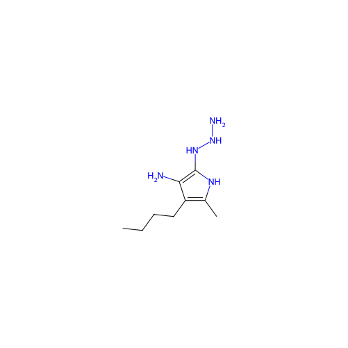 CCCCc1c(C)[nH]c(NNN)c1N